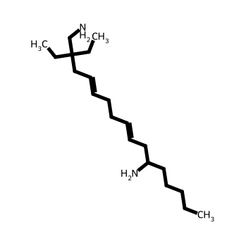 CCCCCC(N)CC=CCCC=CCC(CC)(CC)CN